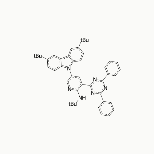 CC(C)(C)Nc1ncc(-n2c3ccc(C(C)(C)C)cc3c3cc(C(C)(C)C)ccc32)cc1-c1nc(-c2ccccc2)nc(-c2ccccc2)n1